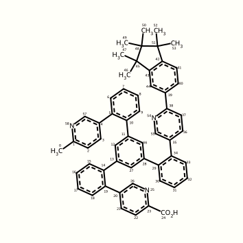 Cc1ccc(-c2ccccc2-c2cc(-c3ccccc3-c3ccc(C(=O)O)nc3)cc(-c3ccccc3-c3ccc(-c4ccc5c(c4)C(C)(C)C(C)(C)C5(C)C)nc3)c2)cn1